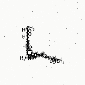 CNC(=O)CC(=O)NCCCOCNC(=O)OC1CCCC2=C(c3ccc(CNC(=O)COCCCNC(=O)CC(=O)NC)cc3)NN=C(C)C2CC1